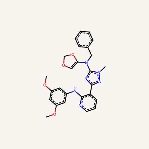 COc1cc(Nc2ncccc2-c2nc(N(Cc3ccccc3)C3=COCO3)n(C)n2)cc(OC)c1